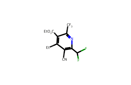 CCOC(=O)c1c(C(F)(F)F)nc(C(F)F)c(C#N)c1CC